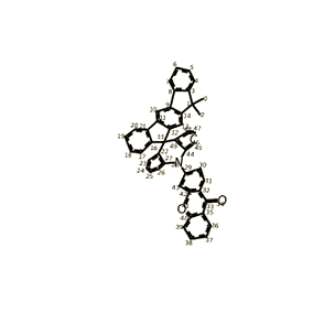 CC1(C)c2ccccc2-c2cc3c(cc21)C1(c2ccccc2-3)c2ccccc2N(c2ccc3c(=O)c4ccccc4oc3c2)c2ccccc21